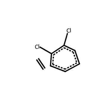 C=C.Clc1ccccc1Cl